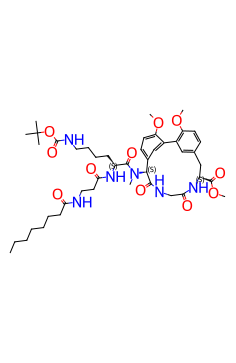 CCCCCCCC(=O)NCCC(=O)N[C@@H](CCCCNC(=O)OC(C)(C)C)C(=O)N(C)[C@@H]1C(=O)NCC(=O)N[C@H](C(=O)OC)Cc2ccc(OC)c(c2)-c2cc1ccc2OC